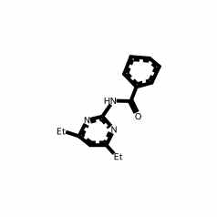 CCc1cc(CC)nc(NC(=O)c2ccccc2)n1